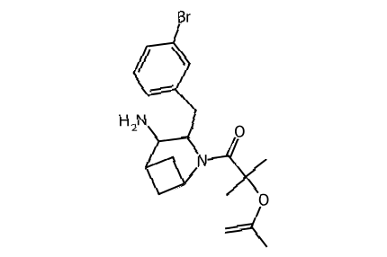 C=C(C)OC(C)(C)C(=O)N1C2CC(C2)C(N)C1Cc1cccc(Br)c1